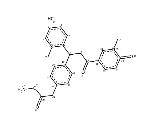 Cc1ccccc1C(CC(=O)c1ccc(=O)n(C)c1)c1ccc(CC(=O)ON)cc1.Cl